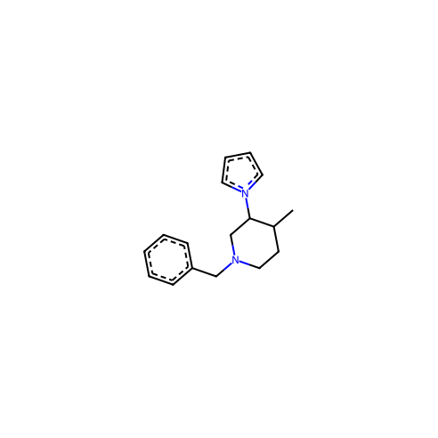 CC1CCN(Cc2ccccc2)CC1n1cccc1